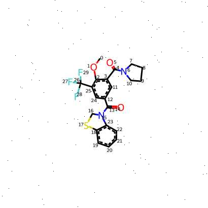 COc1c(C(=O)N2CCCC2)cc(C(=O)N2CSc3ccccc32)cc1C(F)(F)F